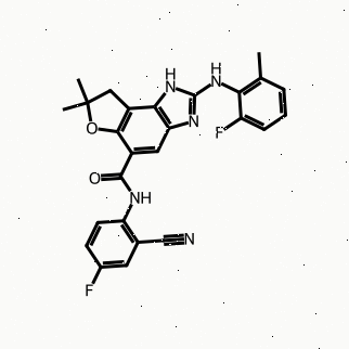 Cc1cccc(F)c1Nc1nc2cc(C(=O)Nc3ccc(F)cc3C#N)c3c(c2[nH]1)CC(C)(C)O3